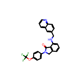 O=C1c2c(cccc2NCc2ccc3ncccc3c2)CN1c1ccc(OC(F)(F)F)cc1